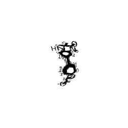 CN1C(=O)C(C)(C)Nc2ccc(-c3ccc(OCC[O])cc3)cc21